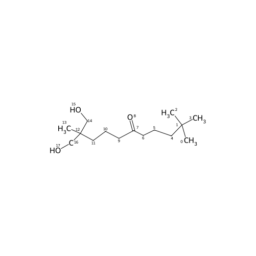 CC(C)(C)CCCC(=O)CCCC(C)(CO)CO